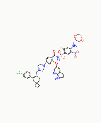 O=C(NS(=O)(=O)c1cc([N+](=O)[O-])c(NC[C@H]2COCCO2)cc1F)c1ccc(N2CCN(CC3=C(c4ccc(Cl)cc4)CC4(CCC4)CC3)CC2)cc1Oc1cnc2[nH]ccc2c1